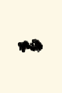 Cc1c(C#Cc2cnn(CCn3cnc(COc4cccc(C=O)c4C(=O)N(C)C4CCC(=O)NC4=O)c3)c2)sc2c1C(c1ccc(Cl)cc1)=NCc1nnc(C)n1-2